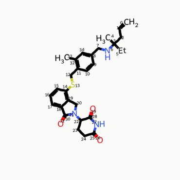 C=CCC(C)(CC)NCc1ccc(CSc2cccc3c2CN(C2CCC(=O)NC2=O)C3=O)c(C)c1